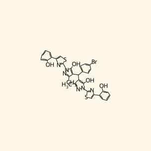 Cc1nn(-c2nc(-c3ccccc3O)cs2)c(O)c1C(c1ccc(Br)cc1)c1c(C)nn(-c2nc(-c3ccccc3O)cs2)c1O